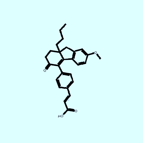 CCCCC12CCC(=O)C(c3ccc(/C=C/C(=O)O)cc3)=C1c1ccc(OC)cc1C2